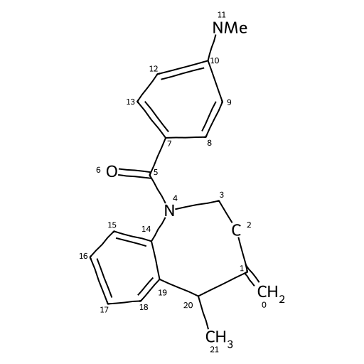 C=C1CCN(C(=O)c2ccc(NC)cc2)c2ccccc2C1C